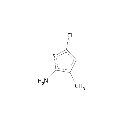 Cc1cc(Cl)sc1N